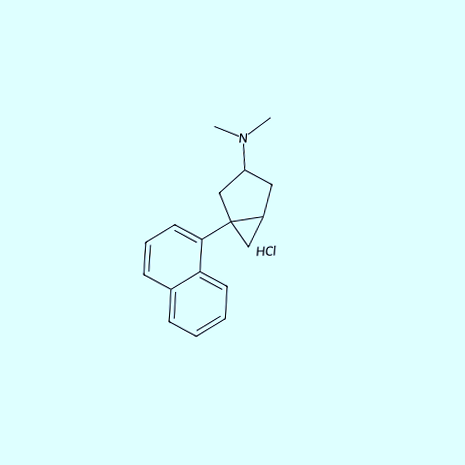 CN(C)C1CC2CC2(c2cccc3ccccc23)C1.Cl